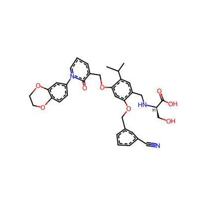 CC(C)c1cc(CN[C@H](CO)C(=O)O)c(OCc2cccc(C#N)c2)cc1OCc1cccn(-c2ccc3c(c2)OCCO3)c1=O